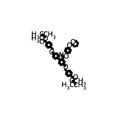 CC(C)(C)OC(=O)c1ccc(COc2ccc3c(c2)nc(Oc2ccc(OC4CCCCO4)cc2)c2cc(OCc4ccc(C(=O)OC(C)(C)C)cc4)ccc23)cc1